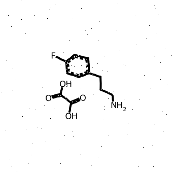 NCCCc1ccc(F)cc1.O=C(O)C(=O)O